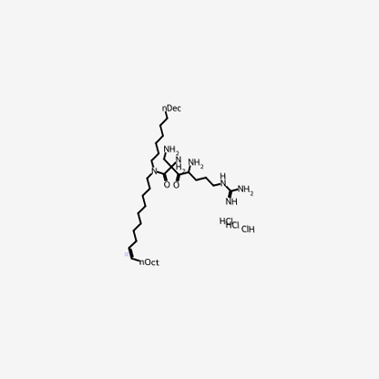 CCCCCCCC/C=C\CCCCCCCCN(CCCCCCCCCCCCCCCC)C(=O)C(N)(CN)C(=O)C(N)CCCNC(=N)N.Cl.Cl.Cl